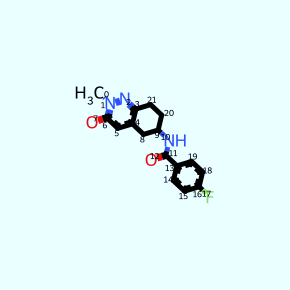 Cn1nc2c(cc1=O)CC(NC(=O)c1ccc(F)cc1)CC2